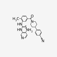 Cc1ccc(C(=O)N2CCC(c3ccc(C#N)cc3)CC2)cc1NC(=S)Nc1cnccc1N